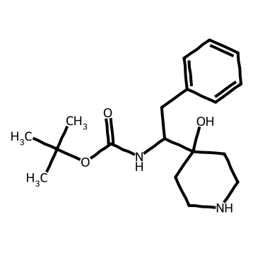 CC(C)(C)OC(=O)NC(Cc1ccccc1)C1(O)CCNCC1